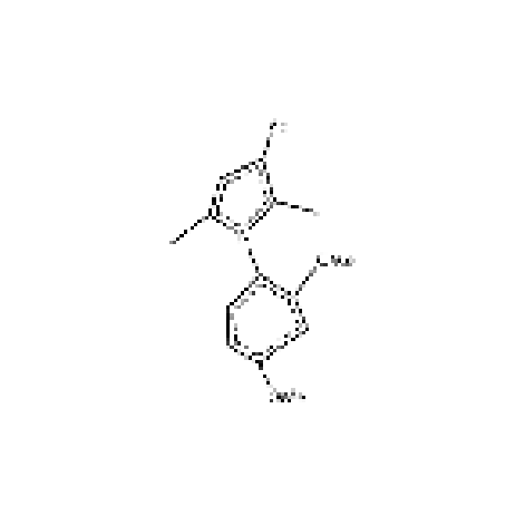 COc1ccc(-n2c(C)cc(C(C)=O)c2C)c(OC)c1